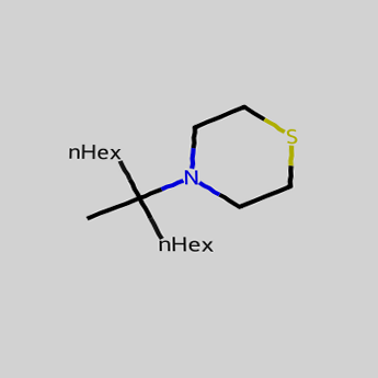 CCCCCCC(C)(CCCCCC)N1CCSCC1